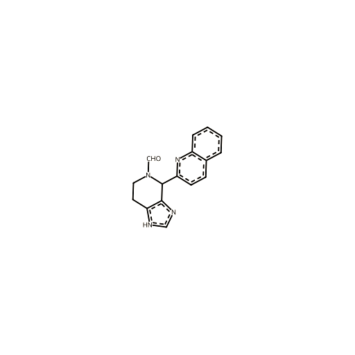 O=CN1CCc2[nH]cnc2C1c1ccc2ccccc2n1